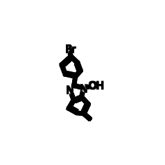 Cc1ccc2nc(-c3ccc(Br)cc3)n(O)c2c1